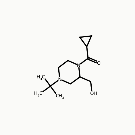 CC(C)(C)N1CCN(C(=O)C2CC2)C(CO)C1